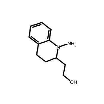 NN1c2ccccc2CCC1CCO